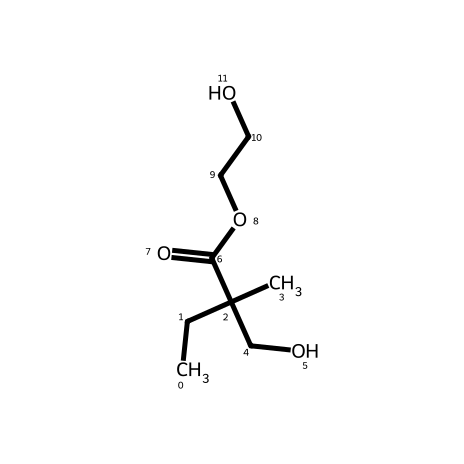 CCC(C)(CO)C(=O)OCCO